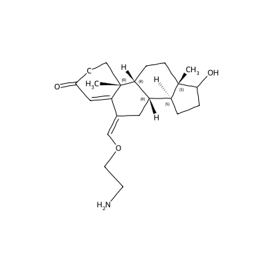 C[C@]12CCC(=O)C=C1C(=COCCN)C[C@@H]1[C@H]2CC[C@]2(C)C(O)CC[C@@H]12